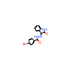 O=C1Nc2ccccc2/C1=N\NC(=O)c1ccc(Br)cc1